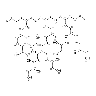 CCCCC(COCC(COCC(CCCC)OCC(COCC(O)CO)OCC(O)CO)OCC(C)COCC(COCC(O)CO)OCC(O)CO)OCC(COCC(O)CO)OCC(O)CO